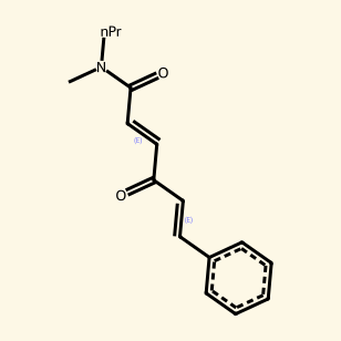 CCCN(C)C(=O)/C=C/C(=O)/C=C/c1ccccc1